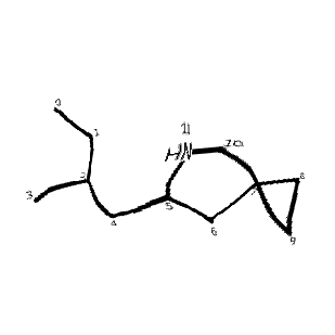 CCC(C)CC1CC2(CC2)CN1